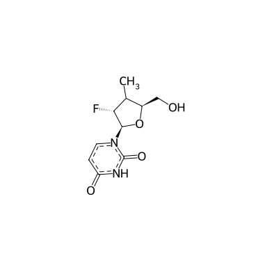 CC1[C@@H](F)[C@H](n2ccc(=O)[nH]c2=O)O[C@@H]1CO